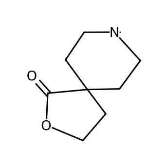 O=C1OCCC12CC[N]CC2